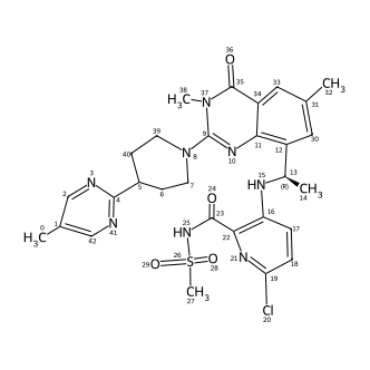 Cc1cnc(C2CCN(c3nc4c([C@@H](C)Nc5ccc(Cl)nc5C(=O)NS(C)(=O)=O)cc(C)cc4c(=O)n3C)CC2)nc1